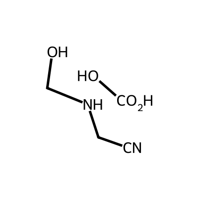 N#CCNCO.O=C(O)O